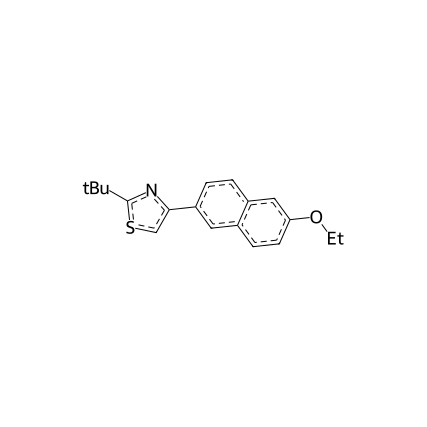 CCOc1ccc2cc(-c3csc(C(C)(C)C)n3)ccc2c1